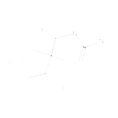 CCC(NC(N)=O)C(O)(O[SiH3])C(O)O